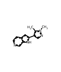 Cc1c(-c2cc3ccncc3[nH]2)cnn1C